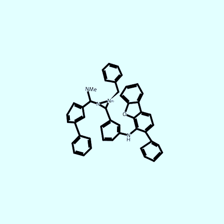 CNC(c1cccc(-c2ccccc2)c1)N1C(c2cccc(Nc3c(-c4ccccc4)ccc4c3oc3ccccc34)c2)[N@]1Cc1ccccc1